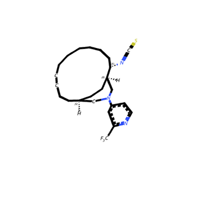 FC(F)(F)c1cc(N2C[C@H]3CCCCCCCCCC[C@H](N=C=S)[C@H](CC3)C2)ccn1